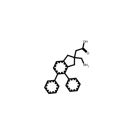 NCC1(CC(=O)O)Cc2ccc(-c3ccccc3)c(-c3ccccc3)c2C1